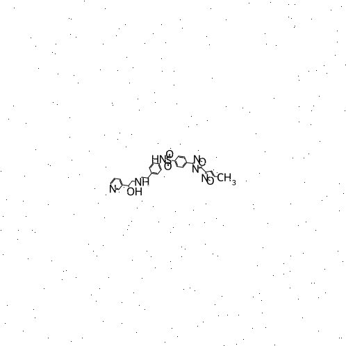 Cc1cc(-c2nc(-c3ccc(S(=O)(=O)Nc4ccc(CCNCC(O)c5cccnc5)cc4)cc3)no2)no1